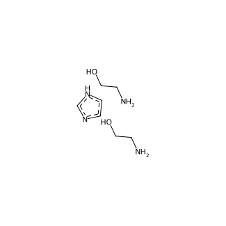 NCCO.NCCO.c1c[nH]cn1